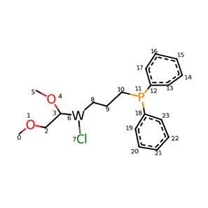 COC[CH](OC)[W]([Cl])[CH2]CCP(c1ccccc1)c1ccccc1